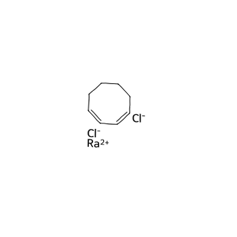 C1=CCCCCC=C1.[Cl-].[Cl-].[Ra+2]